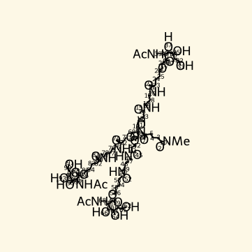 CNC(=O)CCCC(=O)NC(COCCC(=O)NCCCNC(=O)CCCCOC[C@@H]1OC(CO)[C@H](O)C(O)[C@@H]1NC(C)=O)(COCCC(=O)NCCCNC(=O)CCCCO[C@@H]1OC(CO)C(O)[C@@H](O)[C@@H]1NC(C)=O)COCCC(=O)NCCCNC(=O)CCCCO[C@@H]1OC(CO)[C@H](O)C(O)[C@@H]1NC(C)=O